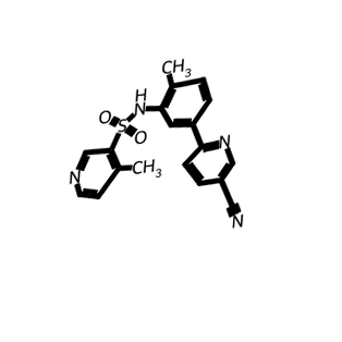 Cc1ccc(-c2ccc(C#N)cn2)cc1NS(=O)(=O)c1cnccc1C